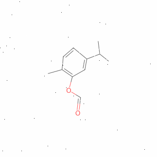 Cc1ccc(C(C)C)cc1OC=O